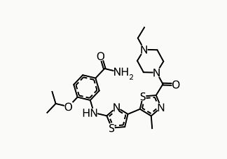 CCN1CCN(C(=O)c2nc(C)c(-c3csc(Nc4cc(C(N)=O)ccc4OC(C)C)n3)s2)CC1